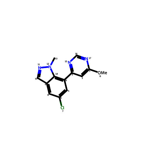 COc1cc(-c2cc(Cl)cc3cnn(C)c23)ncn1